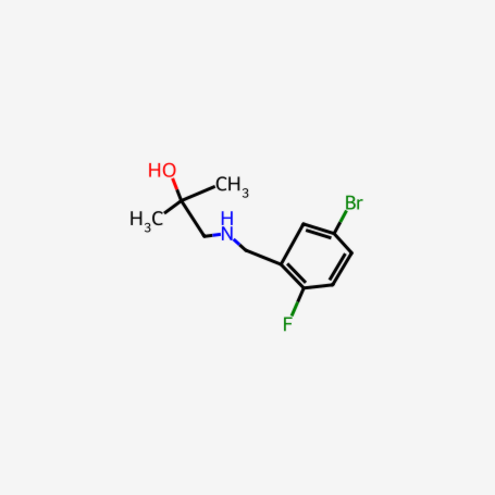 CC(C)(O)CNCc1cc(Br)ccc1F